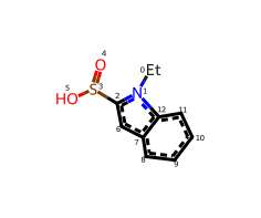 CCn1c(S(=O)O)cc2ccccc21